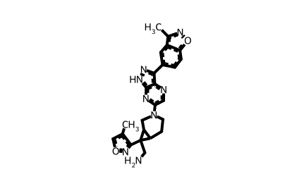 Cc1conc1C1(CN)C2CCN(c3cnc4c(-c5ccc6onc(C)c6c5)n[nH]c4n3)CC21